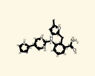 Cc1ccc(Cc2c(Nc3ncc(-c4cccs4)cn3)cccc2C(N)=O)o1